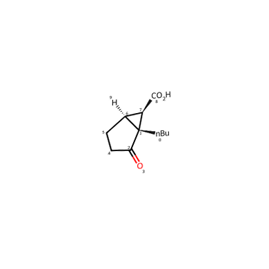 CCCC[C@@]12C(=O)CC[C@H]1[C@H]2C(=O)O